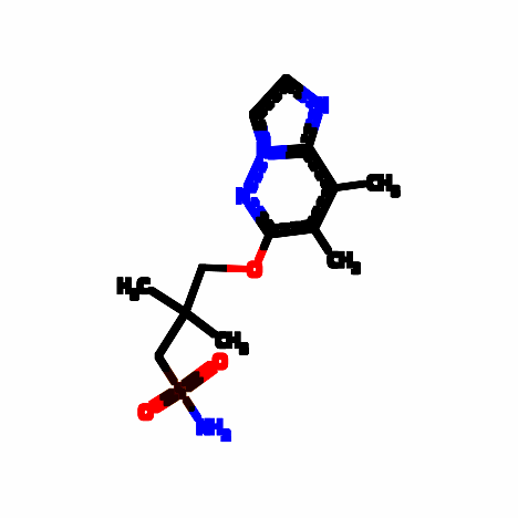 Cc1c(OCC(C)(C)CS(N)(=O)=O)nn2ccnc2c1C